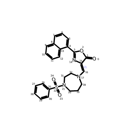 O=C1OC(c2cccc3ccccc23)=N/C1=C\N1CCCN(S(=O)(=O)c2ccccc2)CC1